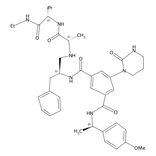 CCNC(=O)[C@@H](NC(=O)[C@H](C)NC[C@H](Cc1ccccc1)NC(=O)c1cc(C(=O)N[C@H](C)c2ccc(OC)cc2)cc(N2CCCNC2=O)c1)C(C)C